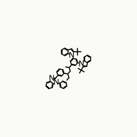 CCC(CC(C)c1cc(-n2c(C(C)(C)C)cc3ccccc32)cc(-n2c(C(C)(C)C)cc3ccccc32)c1)c1cccc(-c2nc3ccccc3n2-c2ccccc2)c1